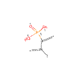 C=C(C)C(=C)P(=O)(O)O